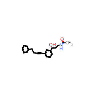 O=C(NCC[C@@H](O)c1cccc(C#CCCc2ccccc2)c1)C(F)(F)F